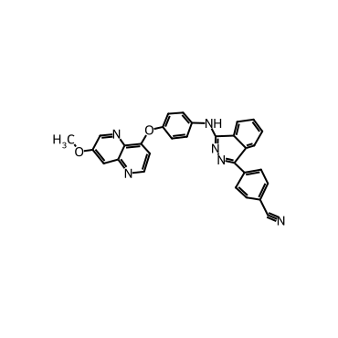 COc1cnc2c(Oc3ccc(Nc4nnc(-c5ccc(C#N)cc5)c5ccccc45)cc3)ccnc2c1